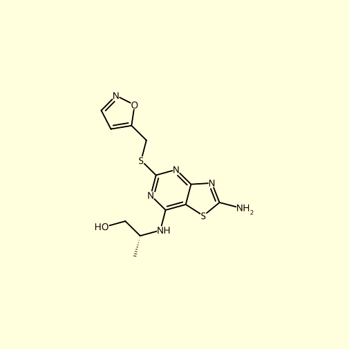 C[C@H](CO)Nc1nc(SCc2ccno2)nc2nc(N)sc12